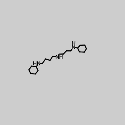 C1CCC(NCCCCNCCCCNC2CCCCC2)CC1